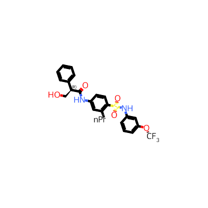 CCCc1cc(NC(=O)[C@@H](CO)c2ccccc2)ccc1S(=O)(=O)Nc1cccc(OC(F)(F)F)c1